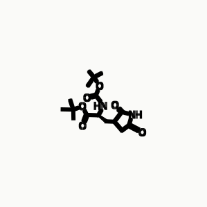 CC(C)(C)OC(=O)N[C@@H](CC1CC(=O)NC1=O)C(=O)OC(C)(C)C